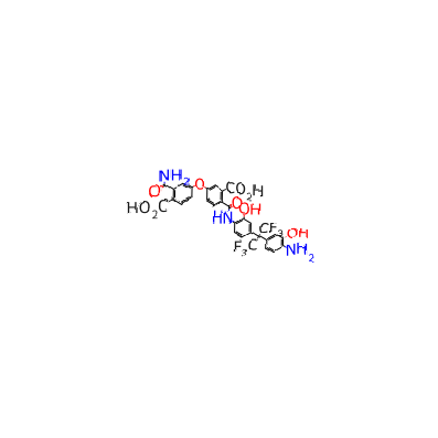 NC(=O)c1cc(Oc2ccc(C(=O)Nc3ccc(C(c4ccc(N)c(O)c4)(C(F)(F)F)C(F)(F)F)cc3O)c(C(=O)O)c2)ccc1C(=O)O